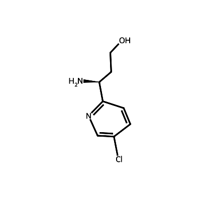 N[C@@H](CCO)c1ccc(Cl)cn1